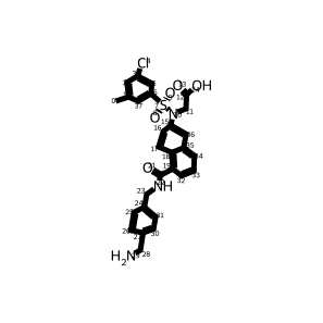 Cc1cc(Cl)cc(S(=O)(=O)N(CC(=O)O)c2ccc3c(C(=O)NCc4ccc(CN)cc4)cccc3c2)c1